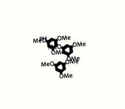 COc1cc(OC)cc(OC)c1.COc1cc(OC)cc(OC)c1.COc1cc(OC)cc(OC)c1.P